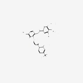 COC1=CC(C(C)Cc2ccc(OC)c(O)c2N/C=C\C(=O)C2C=CC(C(F)(F)F)=CC2C)C(C)C(OC)=C1OC